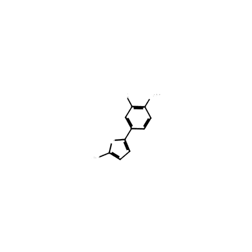 COc1ccc(-c2ccc(C(C)(C)C)o2)cc1Cl